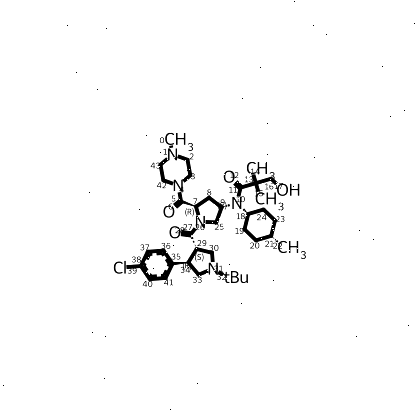 CN1CCN(C(=O)[C@H]2C[C@H](N(C(=O)C(C)(C)CO)[C@H]3CC[C@@H](C)CC3)CN2C(=O)[C@@H]2CN(C(C)(C)C)C[C@H]2c2ccc(Cl)cc2)CC1